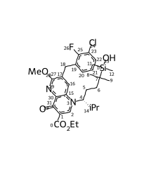 CCOC(=O)c1cn([C@H](CCC(C)(C)[Si](C)(C)O)C(C)C)c2cc(Cc3cccc(Cl)c3F)c(OC)nc2c1=O